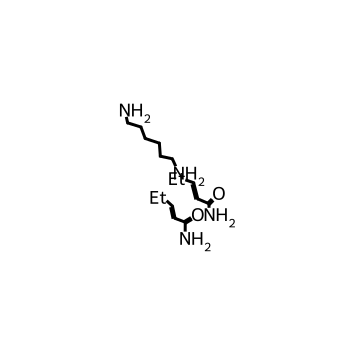 CCC=CC(N)=O.CCC=CC(N)=O.NCCCCCCN